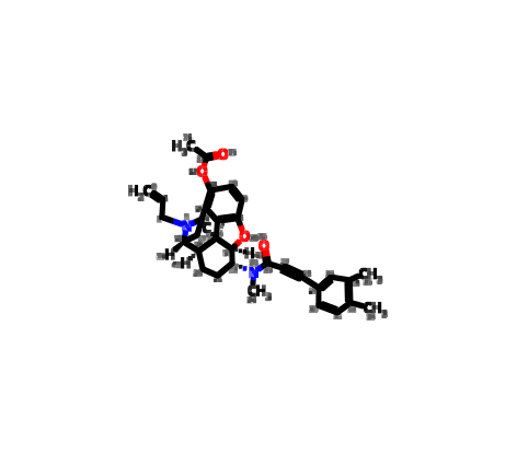 C=CCN1CC[C@@]23c4c5ccc(OC(C)=O)c4C[C@@H]1[C@@H]2CC[C@@H](N(C)C(=O)C#Cc1ccc(C)c(C)c1)[C@@H]3O5